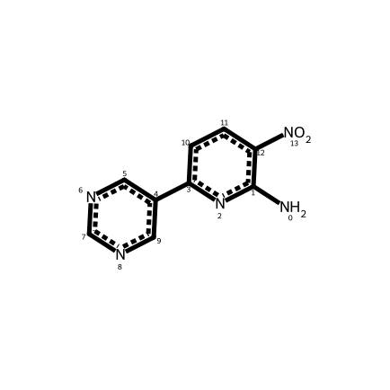 Nc1nc(-c2cncnc2)ccc1[N+](=O)[O-]